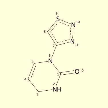 O=C1NCC=CN1c1csnn1